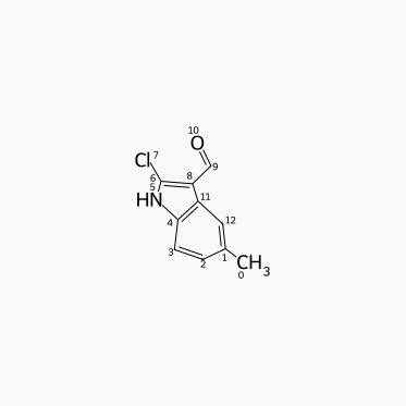 Cc1ccc2[nH]c(Cl)c(C=O)c2c1